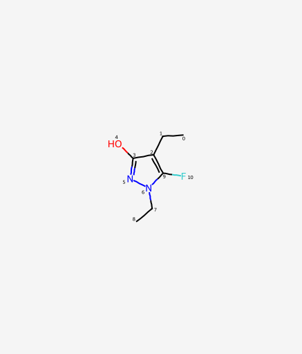 CCc1c(O)nn(CC)c1F